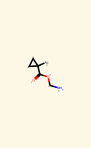 CC(=O)C1(C(=O)OCN)CC1